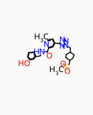 Cc1cc(-c2nnn(CC3CCC(CS(C)(=O)=O)CC3)n2)cc(C(=O)NCc2cccc(O)c2)n1